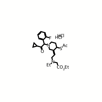 CCOC(=O)CN(CC)C/C=C1\CN(C(C(=O)C2CC2)c2ccccc2F)CCC1SC(C)=O.Cl.Cl